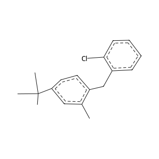 Cc1cc(C(C)(C)C)ccc1Cc1ccccc1Cl